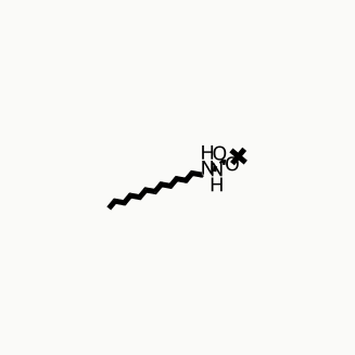 CCCCCCCCCCCCCNNC(=O)OC(C)(C)C